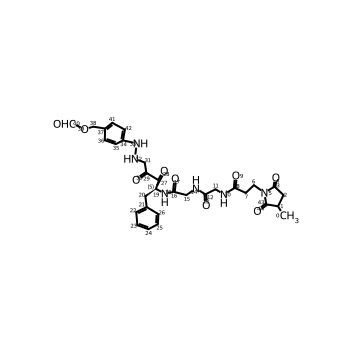 CC1CC(=O)N(CCC(=O)NCC(=O)NCC(=O)N[C@@H](Cc2ccccc2)C(=O)C(=O)CNNc2ccc(COC=O)cc2)C1=O